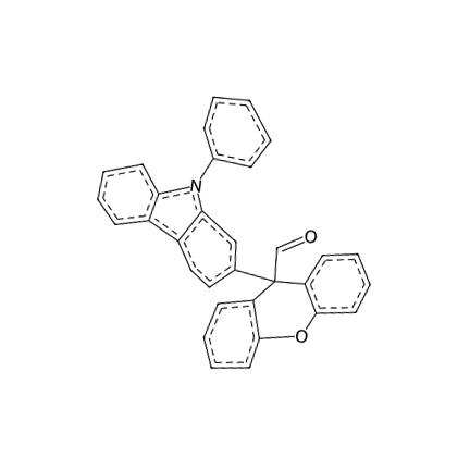 O=CC1(c2ccc3c4ccccc4n(-c4ccccc4)c3c2)c2ccccc2Oc2ccccc21